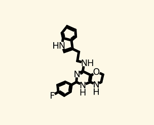 Fc1ccc(C2N=C(NCCc3c[nH]c4ccccc34)C3=C(NCCO3)N2)cc1